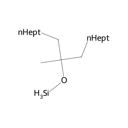 CCCCCCCCC(C)(CCCCCCCC)O[SiH3]